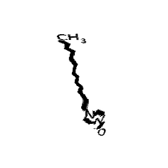 CCCCCCCCCCCCCCN1CCN(C[C]=O)CC1